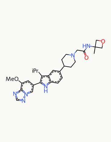 COc1cc(-c2[nH]c3ccc(C4CCN(CC(=O)NC5(C)COC5)CC4)cc3c2C(C)C)cn2ncnc12